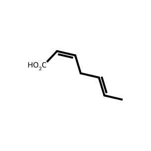 C/C=C/C/C=C\C(=O)O